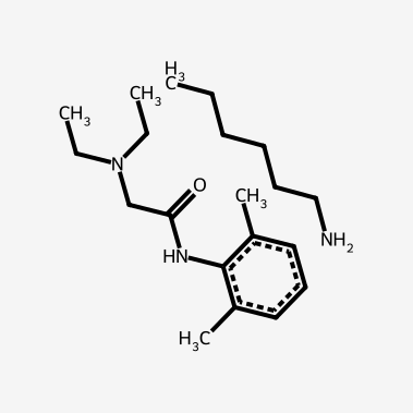 CCCCCCN.CCN(CC)CC(=O)Nc1c(C)cccc1C